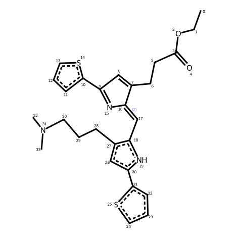 CCOC(=O)CCC1=CC(c2cccs2)=N/C1=C\c1[nH]c(-c2cccs2)cc1CCCN(C)C